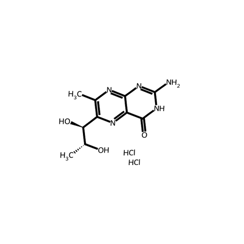 Cc1nc2nc(N)[nH]c(=O)c2nc1[C@H](O)[C@@H](C)O.Cl.Cl